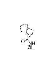 O=C(NO)N1CCc2ccccc21